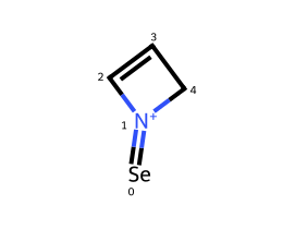 [Se]=[N+]1C=CC1